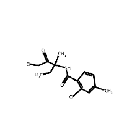 CCC(C)(NC(=O)c1ccc(C)cc1Cl)C(=O)CCl